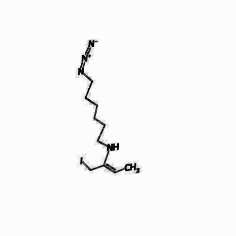 CC=C(CI)NCCCCCCN=[N+]=[N-]